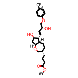 CC(C)OC(=O)CCC[C@H]1CC[C@@H]2[C@@H](/C=C/[C@@H](O)COc3ccc(C(F)(F)F)cc3)[C@H](O)C[C@@H]2OC1